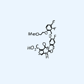 COCCOc1ccc(F)c(F)c1COc1cc(-n2c(=O)[nH]c3csc(C(=O)O)c3c2=O)c(F)cc1F